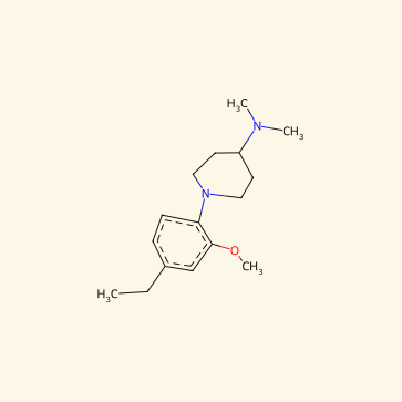 CCc1ccc(N2CCC(N(C)C)CC2)c(OC)c1